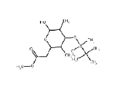 COC(=O)CC1OC(O)C(C)C(O[Si](C)(C)C(C)(C)C)C1C